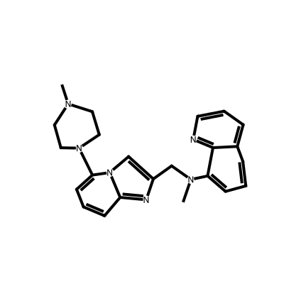 CN1CCN(c2cccc3nc(CN(C)c4cccc5cccnc45)cn23)CC1